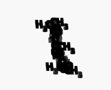 Cc1cc(-c2noc([C@@H](C)OC3CCN(c4nc(C(C)C)no4)CC3)n2)ccc1S(C)(=O)=O